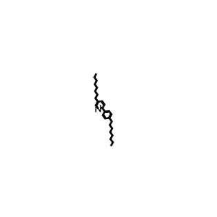 CCCCCCCCc1ccc(-c2ccc(CCCCCCCC)cn2)cc1